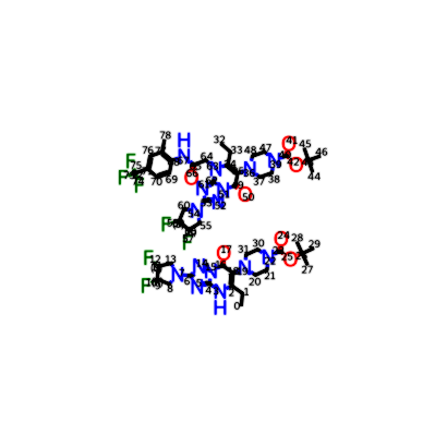 CCc1[nH]c2nc(N3C[C@@H](F)[C@@H](F)C3)nn2c(=O)c1N1CCN(C(=O)OC(C)(C)C)CC1.CCc1c(N2CCN(C(=O)OC(C)(C)C)CC2)c(=O)n2nc(N3C[C@@H](F)[C@@H](F)C3)nc2n1CC(=O)Nc1ccc(C(F)(F)F)cc1C